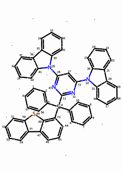 c1ccc([Si](c2ccccc2)(c2nc(-n3c4ccccc4c4ccccc43)cc(-n3c4ccccc4c4ccccc43)n2)c2cccc3c2sc2ccccc23)cc1